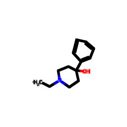 [CH2]CN1CCC(O)(c2ccccc2)CC1